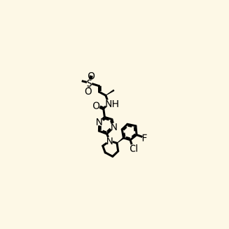 C[C@H](/C=C/S(C)(=O)=O)NC(=O)c1cnc(N2CCCC[C@@H]2c2cccc(F)c2Cl)cn1